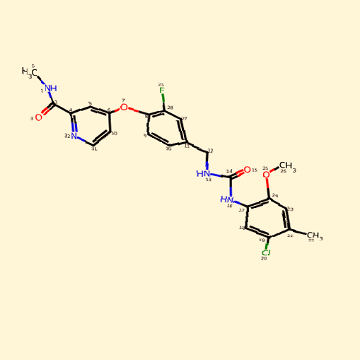 CNC(=O)c1cc(Oc2ccc(CNC(=O)Nc3cc(Cl)c(C)cc3OC)cc2F)ccn1